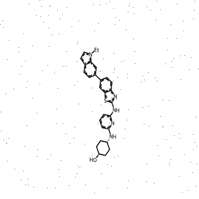 CCn1ccc2ccc(-c3ccc4nc(Nc5cccc(N[C@H]6CC[C@H](O)CC6)n5)sc4c3)cc21